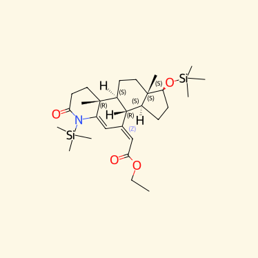 CCOC(=O)/C=C1\C=C2N([Si](C)(C)C)C(=O)CC[C@]2(C)[C@H]2CC[C@]3(C)[C@@H](O[Si](C)(C)C)CC[C@H]3[C@H]12